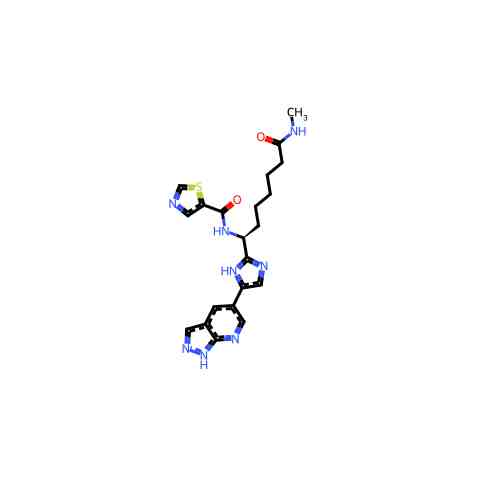 CNC(=O)CCCCC[C@H](NC(=O)c1cncs1)c1ncc(-c2cnc3[nH]ncc3c2)[nH]1